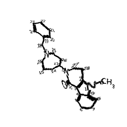 Cn1c2c(c3ccccc31)C(=O)N(C1CCCN(Cc3ccccc3)CC1)CC2